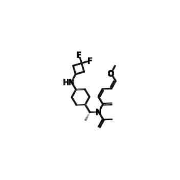 C=C(C)N(C(=C)/C=C\C=C/OC)[C@H](C)C1CCC(NC2CC(F)(F)C2)CC1